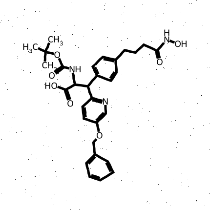 CC(C)(C)OC(=O)NC(C(=O)O)C(c1ccc(CCCC(=O)NO)cc1)c1ccc(OCc2ccccc2)cn1